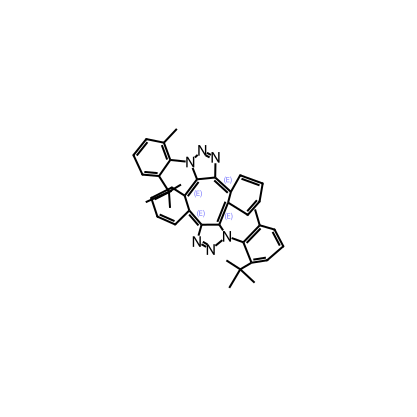 Cc1cccc(C(C)(C)C)c1-n1nnc2/c1=c1/cccc/c1=c1\nnn(-c3c(C)cccc3C(C)(C)C)\c1=c1/cccc/c1=2